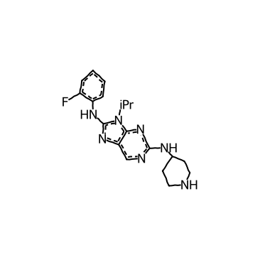 CC(C)n1c(Nc2ccccc2F)nc2cnc(NC3CCNCC3)nc21